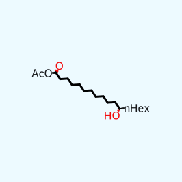 CCCCCC[C@@H](O)CCCCCCCCCCC(=O)OC(C)=O